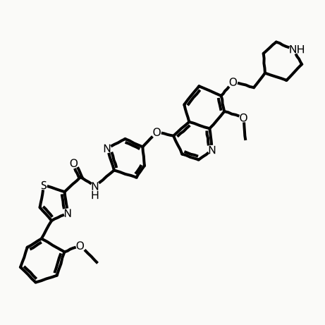 COc1ccccc1-c1csc(C(=O)Nc2ccc(Oc3ccnc4c(OC)c(OCC5CCNCC5)ccc34)cn2)n1